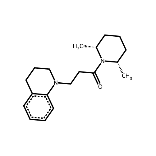 C[C@@H]1CCC[C@H](C)N1C(=O)CCN1CCCc2ccccc21